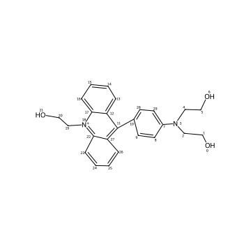 OCCN(CCO)c1ccc(-c2c3ccccc3[n+](CCO)c3ccccc23)cc1